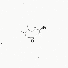 CC(C)C(=O)OCC(C)C(C)CC1OC1C